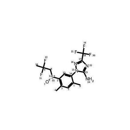 Cc1cc(C)c([S@+]([O-])CC(C)(F)F)cc1-n1nc(C(F)(F)F)nc1N